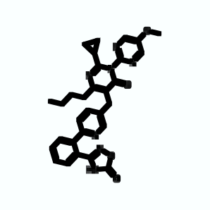 CCCCc1nc(C2CC2)n(-c2ncc(OC)cn2)c(=O)c1Cc1ccc(-c2ccccc2-c2noc(=O)[nH]2)nc1